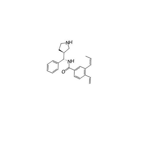 C=Cc1ccc(C(=O)N[C@H](c2ccccc2)[C@H]2CCNC2)cc1/C=C\C